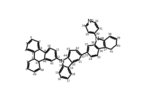 C1=CC2c3ccccc3-c3ccc(-n4c5ccccc5c5cc(-c6ccc7c8c(n(-c9ccncc9)c7c6)C=CCC8)ccc54)cc3C2C=C1